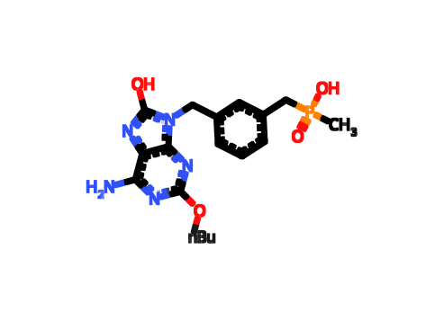 CCCCOc1nc(N)c2nc(O)n(Cc3cccc(CP(C)(=O)O)c3)c2n1